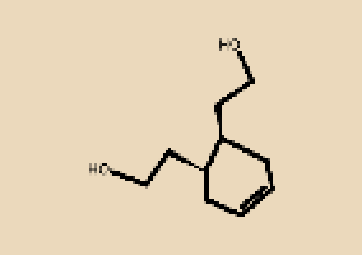 OCC[C@H]1CC=CC[C@H]1CCO